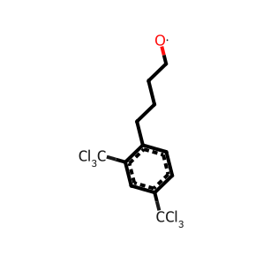 [O]CCCCc1ccc(C(Cl)(Cl)Cl)cc1C(Cl)(Cl)Cl